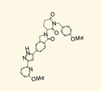 COc1ccc(CN2C(=O)CCC(N3Cc4cc(-c5cc(-c6cccc(OC)n6)n[nH]5)ccc4C3=O)C2=O)cc1